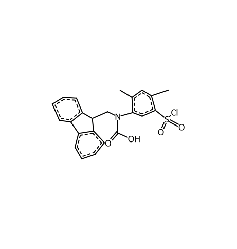 Cc1cc(C)c(S(=O)(=O)Cl)cc1N(CC1c2ccccc2-c2ccccc21)C(=O)O